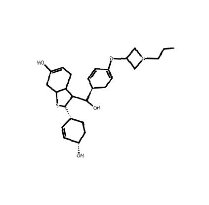 CCCN1CC(OC2=CC[C@@H](C(O)C3C4CC=C(O)CC4SC3[C@H]3C=C[C@@H](O)CC3)C=C2)C1